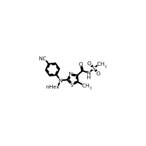 CCCCCCN(c1ccc(C#N)cc1)c1nc(C(=O)NS(C)(=O)=O)c(C)s1